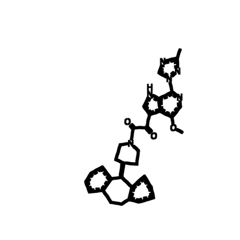 COc1cnc(-n2cnc(C)n2)c2[nH]cc(C(=O)C(=O)N3CCC(=C4c5ccccc5CCc5ccccc54)CC3)c12